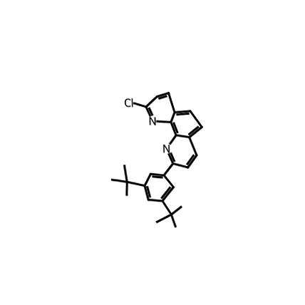 CC(C)(C)c1cc(-c2ccc3ccc4ccc(Cl)nc4c3n2)cc(C(C)(C)C)c1